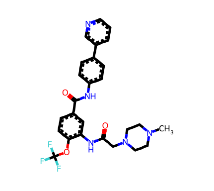 CN1CCN(CC(=O)Nc2cc(C(=O)Nc3ccc(-c4cccnc4)cc3)ccc2OC(F)(F)F)CC1